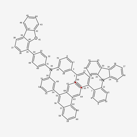 c1cc(-c2ccc(-c3ccccc3-n3c4ccccc4c4ccccc43)cc2)cc(N(c2ccc(-c3cccc4c3oc3ccccc34)cc2)c2cccc(-c3cc4ccccc4c4ccccc34)c2)c1